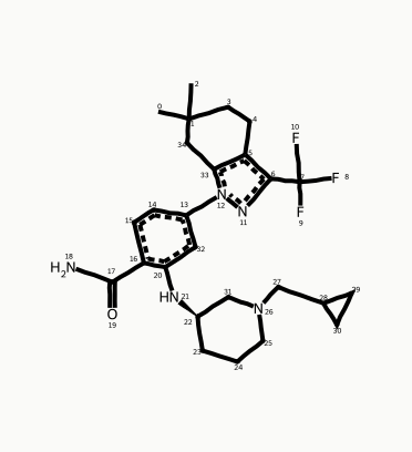 CC1(C)CCc2c(C(F)(F)F)nn(-c3ccc(C(N)=O)c(N[C@@H]4CCCN(CC5CC5)C4)c3)c2C1